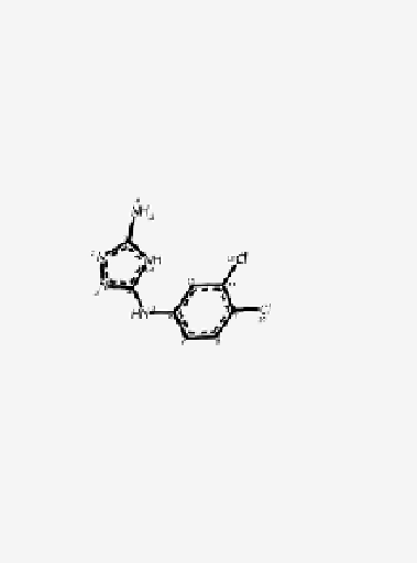 Nc1nnc(Nc2ccc(Cl)c(Cl)c2)[nH]1